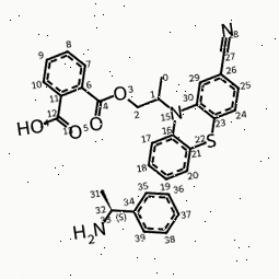 CC(COC(=O)c1ccccc1C(=O)O)N1c2ccccc2Sc2ccc(C#N)cc21.C[C@H](N)c1ccccc1